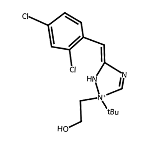 CC(C)(C)[N+]1(CCO)C=NC(=Cc2ccc(Cl)cc2Cl)N1